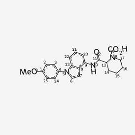 COc1ccc(-n2ccc3c(NC(=O)C4CCCCN4C(=O)O)cccc32)cc1